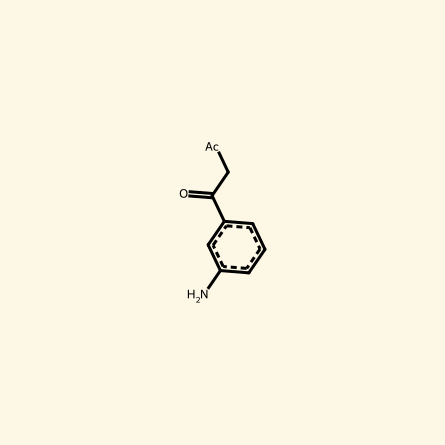 CC(=O)CC(=O)c1cccc(N)c1